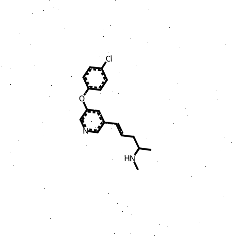 CNC(C)C/C=C/c1cncc(Oc2ccc(Cl)cc2)c1